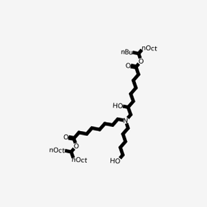 CCCCCCCCC(CCCC)OC(=O)CCCCCC(O)CN(CCCCCO)CCCCCCCC(=O)OC(CCCCCCCC)CCCCCCCC